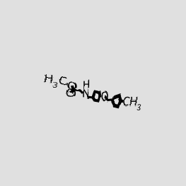 CCOC(=O)CCNCc1ccc(OCc2ccc(C)cc2)cc1